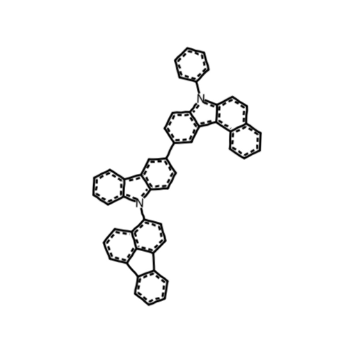 c1ccc(-n2c3ccc(-c4ccc5c(c4)c4ccccc4n5-c4ccc5c6c(cccc46)-c4ccccc4-5)cc3c3c4ccccc4ccc32)cc1